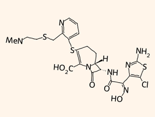 CNCCSCc1ncccc1SC1=C(C(=O)O)N2C(=O)[C@@H](NC(=O)/C(=N\O)c3nc(N)sc3Cl)[C@H]2CC1